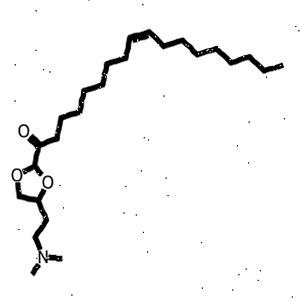 CCCCCCCC/C=C\CCCCCCCC(=O)C1OCC(CCN(C)C)O1